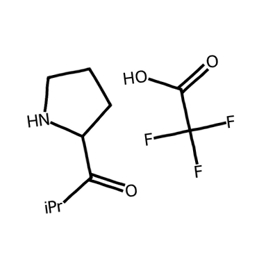 CC(C)C(=O)C1CCCN1.O=C(O)C(F)(F)F